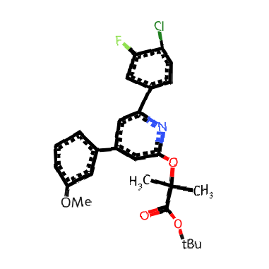 COc1cccc(-c2cc(OC(C)(C)C(=O)OC(C)(C)C)nc(-c3ccc(Cl)c(F)c3)c2)c1